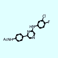 CC(=O)Nc1ccc(-c2cncc(Nc3ccc(F)c(Cl)c3)n2)cc1